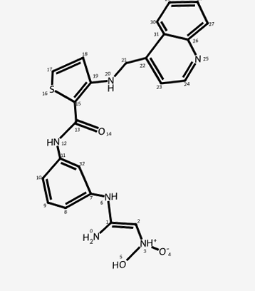 N/C(=C\[NH+]([O-])O)Nc1cccc(NC(=O)c2sccc2NCc2ccnc3ccccc23)c1